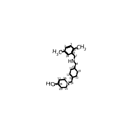 Cc1ccc(C)c(CNCC2CCC(CN3CCC(O)CC3)CC2)c1